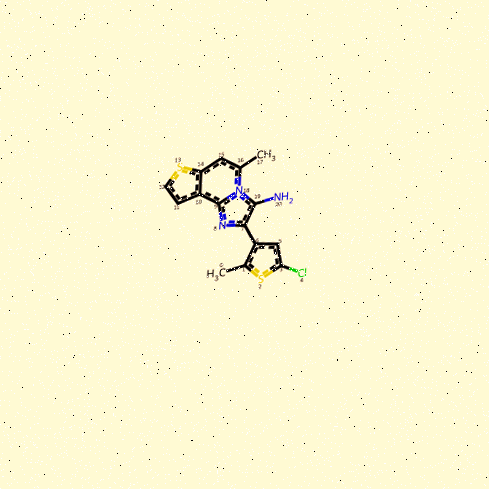 Cc1sc(Cl)cc1-c1nc2c3ccsc3cc(C)n2c1N